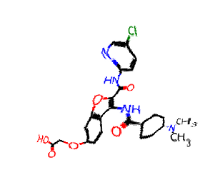 CN(C)[C@H]1CC[C@H](C(=O)Nc2c(C(=O)Nc3ccc(Cl)cn3)oc3cc(OCC(=O)O)ccc23)CC1